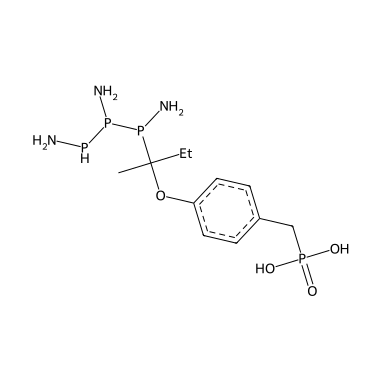 CCC(C)(Oc1ccc(CP(=O)(O)O)cc1)P(N)P(N)PN